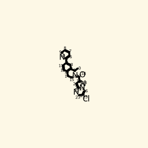 CC1c2cc(-c3ccccn3)ccc2CCN1C(=O)c1cc2ncc(Cl)cn2n1